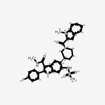 CNC(=O)c1c(-c2ccc(F)cc2)oc2cc(NS(C)(=O)=O)c([C@@H]3CCCN(C(=O)c4cc5ccccc5n4C)C3)cc12